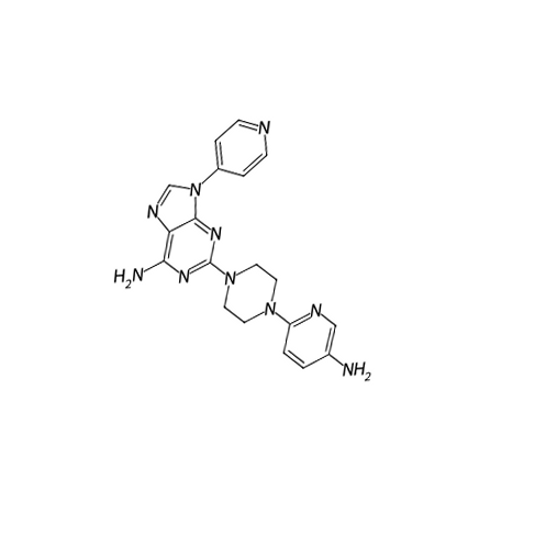 Nc1ccc(N2CCN(c3nc(N)c4ncn(-c5ccncc5)c4n3)CC2)nc1